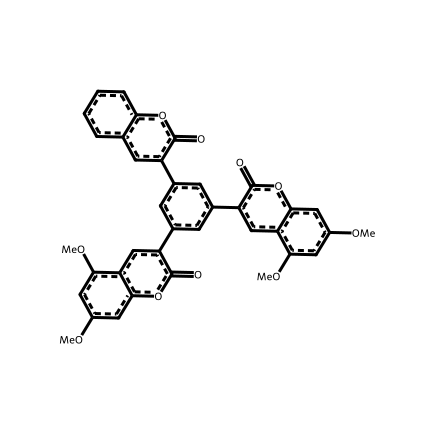 COc1cc(OC)c2cc(-c3cc(-c4cc5ccccc5oc4=O)cc(-c4cc5c(OC)cc(OC)cc5oc4=O)c3)c(=O)oc2c1